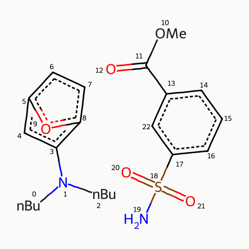 CCCCN(CCCC)c1cc2ccc1o2.COC(=O)c1cccc(S(N)(=O)=O)c1